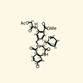 COC(=O)c1ccc(CN2C(=O)c3ccc(Cl)cc3NC(=O)[C@H]2Cc2ccccn2)cc1NC(=O)COC(C)=O